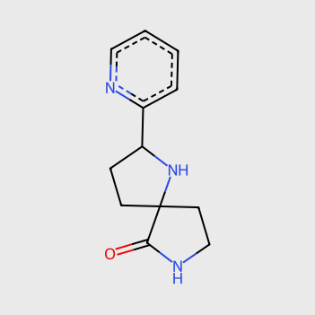 O=C1NCCC12CCC(c1ccccn1)N2